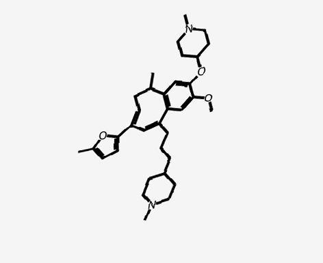 COc1cc2c(cc1OC1CCN(C)CC1)C(C)C/C=C(c1ccc(C)o1)/C=C\2CCCC1CCN(C)CC1